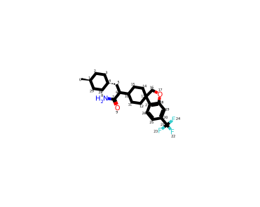 C[C@H]1CC[C@H](CC(C(N)=O)C2CCC3(CC2)COc2cc(C(F)(F)F)ccc23)CC1